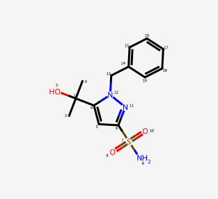 CC(C)(O)c1cc(S(N)(=O)=O)nn1Cc1ccccc1